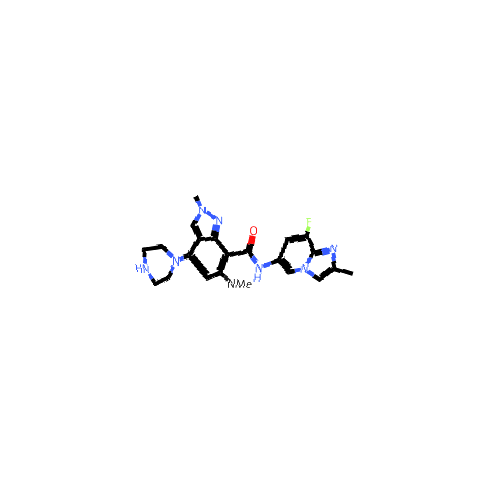 CNc1cc(N2CCNCC2)c2cn(C)nc2c1C(=O)Nc1cc(F)c2nc(C)cn2c1